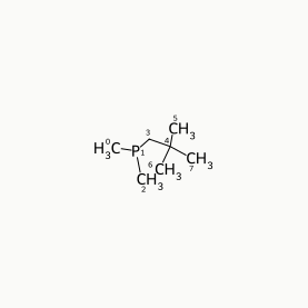 CP(C)CC(C)(C)C